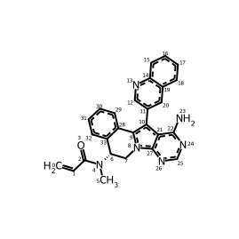 C=CC(=O)N(C)[C@H]1Cn2c(c(-c3cnc4ccccc4c3)c3c(N)ncnc32)-c2ccccc21